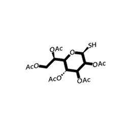 CC(=O)OC[C@@H](OC(C)=O)C1O[C@@H](S)C(OC(C)=O)C(OC(C)=O)[C@@H]1OC(C)=O